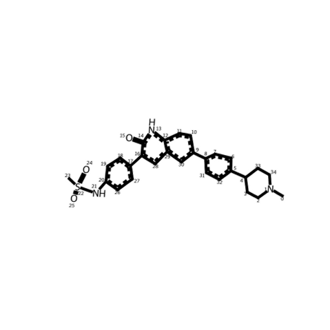 CN1CCC(c2ccc(-c3ccc4[nH]c(=O)c(-c5ccc(NS(C)(=O)=O)cc5)cc4c3)cc2)CC1